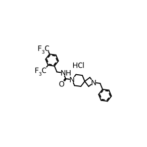 Cl.O=C(NCc1ccc(C(F)(F)F)cc1C(F)(F)F)N1CCC2(CC1)CN(Cc1ccccc1)C2